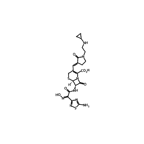 Nc1nc(/C(=N/O)C(=O)N[C@@H]2C(=O)N3C(C(=O)O)=C(C=C4CCN(CCNC5CC5)C4=O)CS[C@H]23)ns1